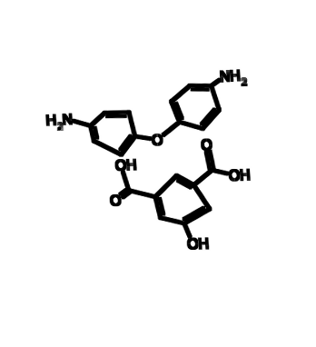 Nc1ccc(Oc2ccc(N)cc2)cc1.O=C(O)c1cc(O)cc(C(=O)O)c1